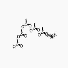 CS(=O)[O-].CS(=O)[O-].CS(=O)[O-].CS(=O)[O-].CS(=O)[O-].[Al+3].[Mg+2]